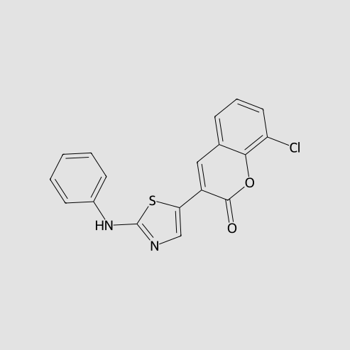 O=c1oc2c(Cl)cccc2cc1-c1cnc(Nc2ccccc2)s1